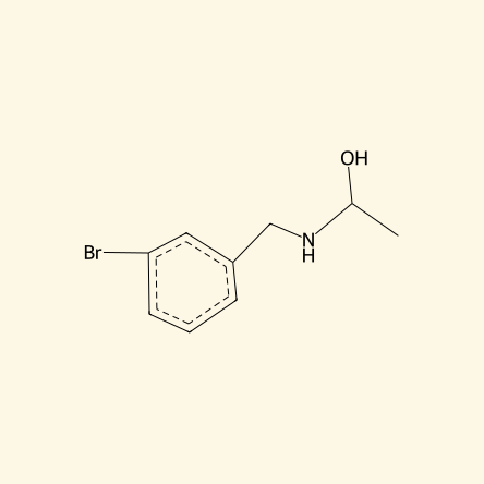 CC(O)NCc1cccc(Br)c1